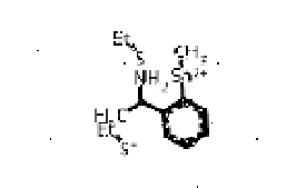 CC[S-].CC[S-].[CH3][Sn+2][c]1ccccc1C(C)N